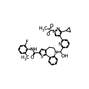 Cc1cccc(F)c1NC(=O)c1cc2c(s1)-c1ccccc1N(C(O)c1cccc(-c3cn(S(C)(=O)=O)nc3C3CC3)n1)CC2